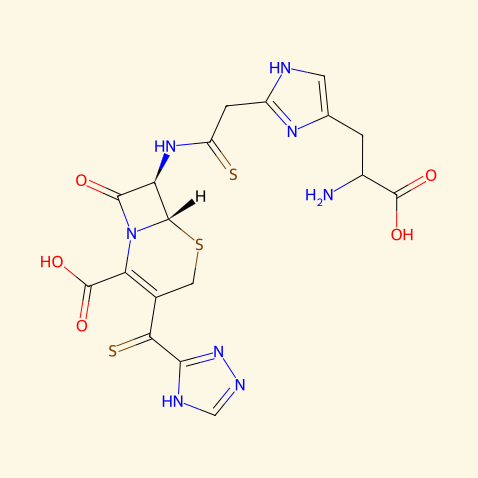 NC(Cc1c[nH]c(CC(=S)N[C@@H]2C(=O)N3C(C(=O)O)=C(C(=S)c4nnc[nH]4)CS[C@@H]23)n1)C(=O)O